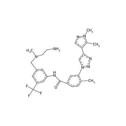 Cc1ccc(C(=O)Nc2cc(CN(C)CCN)cc(C(F)(F)F)c2)cc1-n1cc(-c2cnn(C)c2C)nn1